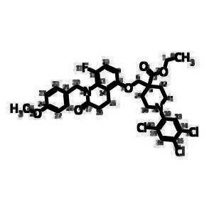 CCOC(=O)C1(COc2ccc(F)c3c2CCC(=O)N3Cc2ccc(OC)cc2)CCN(c2cc(Cl)c(Cl)cc2Cl)CC1